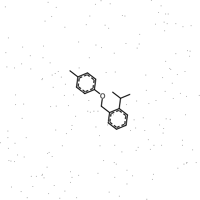 Cc1ccc(OCc2ccccc2C(C)C)cc1